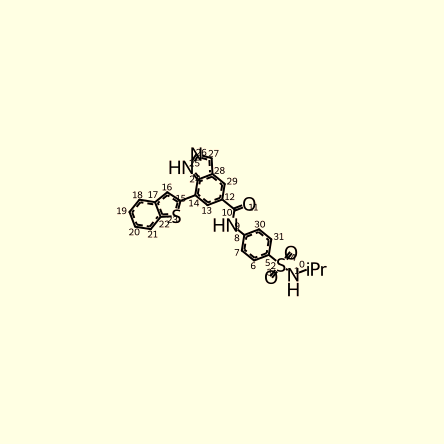 CC(C)NS(=O)(=O)c1ccc(NC(=O)c2cc(-c3cc4ccccc4s3)c3[nH]ncc3c2)cc1